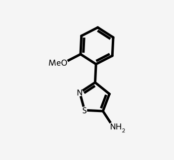 COc1ccccc1-c1cc(N)sn1